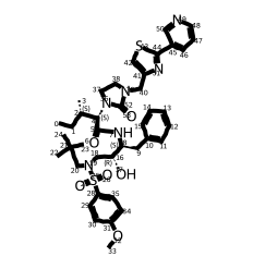 CC[C@H](C)[C@@H](C(=O)N[C@@H](Cc1ccccc1)[C@H](O)CN(CC(C)(C)C)S(=O)(=O)c1ccc(OC)cc1)N1CCN(Cc2csc(-c3cccnc3)n2)C1=O